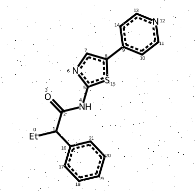 CCC(C(=O)Nc1ncc(-c2ccncc2)s1)c1ccccc1